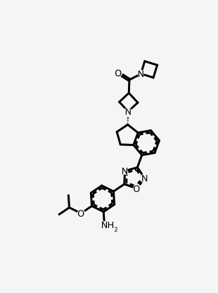 CC(C)Oc1ccc(-c2nc(-c3cccc4c3CC[C@@H]4N3CC(C(=O)N4CCC4)C3)no2)cc1N